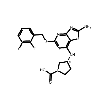 Nc1nc2nc(SCc3cccc(F)c3F)nc(N[C@@H]3CCN(C(=O)O)C3)c2s1